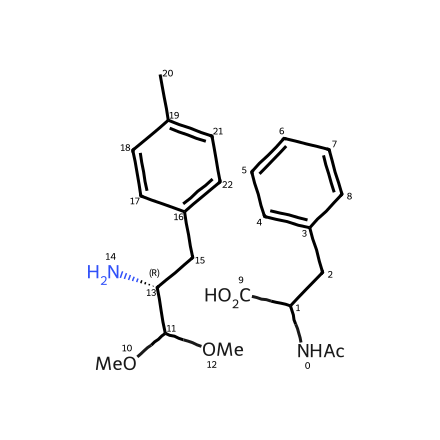 CC(=O)NC(Cc1ccccc1)C(=O)O.COC(OC)[C@H](N)Cc1ccc(C)cc1